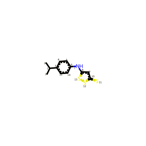 CC(C)c1ccc(Nc2cc(=S)ss2)cc1